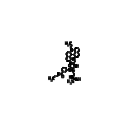 C=CCOC(=O)c1cccc(NC(=O)[C@@H](CCCNC(=N)N)NC(=O)COc2ccc3ccccc3c2-c2c(OCC=C)ccc3ccccc23)c1